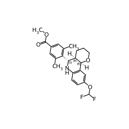 COC(=O)c1cc(C)c([C@H]2Nc3ccc(OC(F)F)cc3[C@@H]3OCCC[C@H]23)c(C)c1